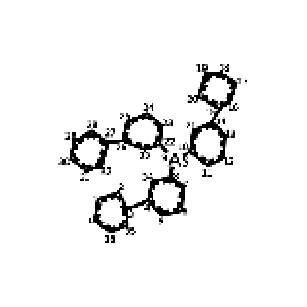 c1ccc(-c2cccc([As](c3cccc(-c4ccccc4)c3)c3cccc(-c4ccccc4)c3)c2)cc1